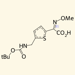 CO/N=C(\C(=O)O)c1ccc(CNC(=O)OC(C)(C)C)s1